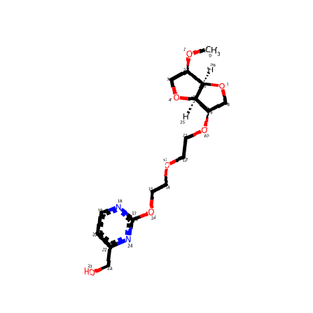 CO[C@@H]1CO[C@H]2[C@@H]1OC[C@H]2OCCOCCOc1nccc(CO)n1